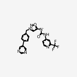 O=C([N-]c1c[n+](Cc2ccc(-c3cncnc3)cc2)no1)Nc1ccnc(C(F)(F)F)c1